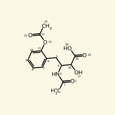 CC(=O)NC(Cc1ccccc1OC(C)=O)C(O)C(=O)O